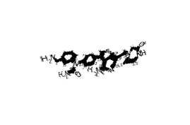 NCc1cccc(N(C(N)=O)c2ccc(-c3csc4c(CN5CCNC(=O)C5)cnc(N)c34)cc2)c1